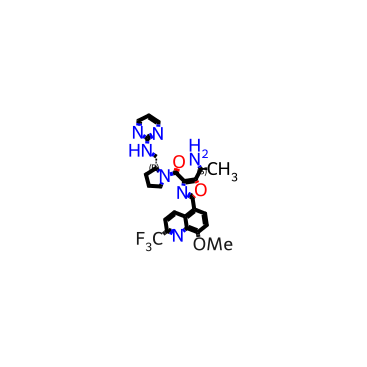 COc1ccc(-c2nc(C(=O)N3CCC[C@@H]3CNc3ncccn3)c([C@H](C)N)o2)c2ccc(C(F)(F)F)nc12